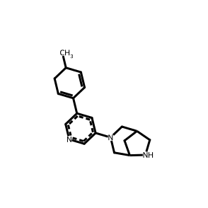 CC1C=CC(c2cncc(N3CC4CNC(C4)C3)c2)=CC1